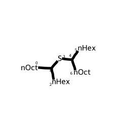 CCCCCCCCC(CCCCCC)SC(CCCCCC)CCCCCCCC